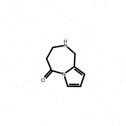 O=C1CCNCc2cccn21